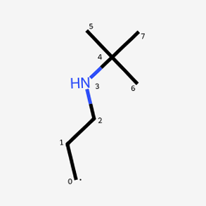 [CH2]CCNC(C)(C)C